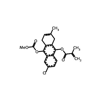 C=C(C)C(=O)Oc1c2c(c(OC(=O)OC)c3cc(Cl)ccc13)CC=C(C)C2